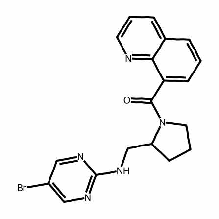 O=C(c1cccc2cccnc12)N1CCCC1CNc1ncc(Br)cn1